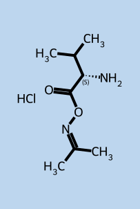 CC(C)=NOC(=O)[C@@H](N)C(C)C.Cl